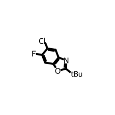 CC(C)(C)c1nc2cc(Cl)c(F)cc2o1